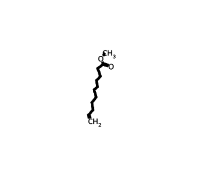 C=CCCCCCCCCC(=O)OC